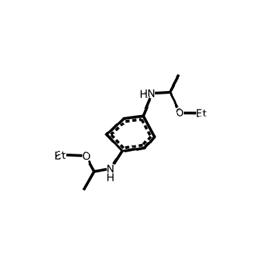 CCOC(C)Nc1ccc(NC(C)OCC)cc1